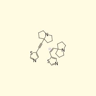 C(#CC12CCCN1CCC2)c1cncs1.C(=C/C12CCCN1CCC2)/c1cncs1